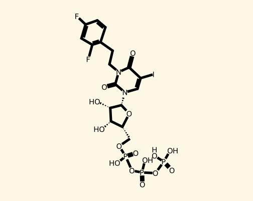 O=c1c(I)cn([C@@H]2O[C@H](COP(=O)(O)OP(=O)(O)OP(=O)(O)O)[C@H](O)[C@@H]2O)c(=O)n1CCc1ccc(F)cc1F